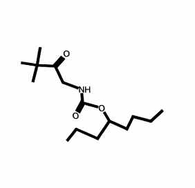 CCCCC(CCC)OC(=O)NCC(=O)C(C)(C)C